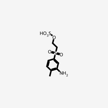 Cc1ccc(S(=O)(=O)CCOS(=O)(=O)O)cc1N